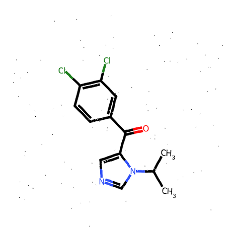 CC(C)n1cncc1C(=O)c1ccc(Cl)c(Cl)c1